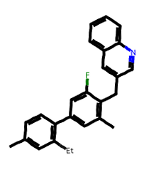 CCc1cc(C)ccc1-c1cc(C)c(Cc2cnc3ccccc3c2)c(F)c1